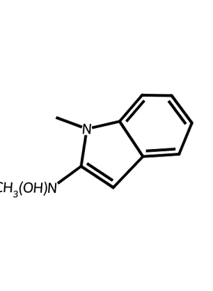 CN(O)c1cc2ccccc2n1C